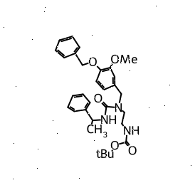 COc1cc(CN(CCNC(=O)OC(C)(C)C)C(=O)NC(C)c2ccccc2)ccc1OCc1ccccc1